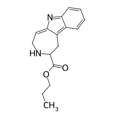 CCCOC(=O)C1CC2=c3ccccc3=NC2=CCN1